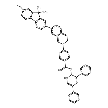 CC1(C)c2cc(C#N)ccc2-c2ccc(-c3ccc4c(c3)=CC(c3ccc(C(=N)NC5NC=C(c6ccccc6)C=C5c5ccccc5)cc3)CC=4)cc21